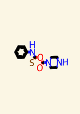 O=C(OC(=S)Nc1ccccc1)N1CCNCC1